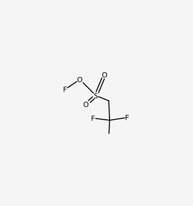 CC(F)(F)CS(=O)(=O)OF